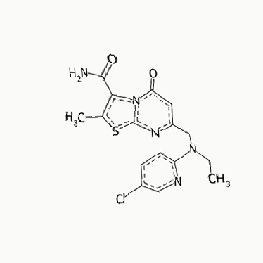 CCN(Cc1cc(=O)n2c(C(N)=O)c(C)sc2n1)c1ccc(Cl)cn1